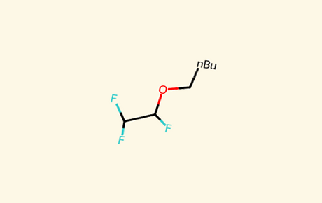 CCCCCOC(F)C(F)F